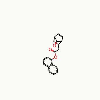 O=C(CC1CC2C=CC1C2=O)Oc1cccc2ccccc12